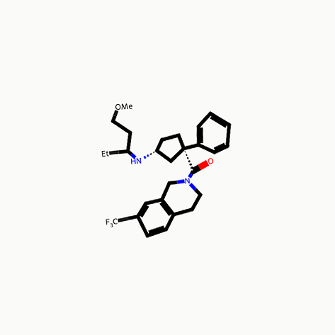 CCC(CCOC)N[C@@H]1CC[C@@](C(=O)N2CCc3ccc(C(F)(F)F)cc3C2)(c2ccccc2)C1